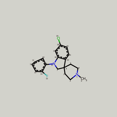 CN1CCC2(CC1)CN(c1ccccc1F)c1cc(Cl)ccc12